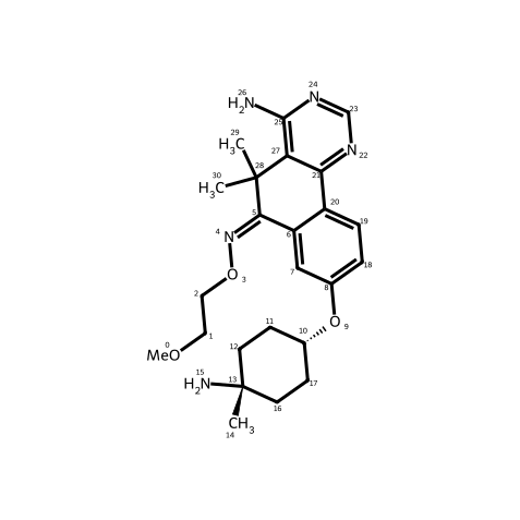 COCCO/N=C1\c2cc(O[C@H]3CC[C@@](C)(N)CC3)ccc2-c2ncnc(N)c2C1(C)C